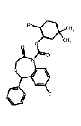 CC(C)C1CCC(C)(C)CC1OC(=O)N1C(=O)CNC(c2ccccc2)c2cc(Cl)ccc21